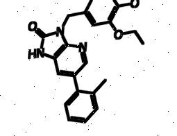 CCOc1cc(Cn2c(=O)[nH]c3cc(-c4ccccc4C)cnc32)ccc1OC